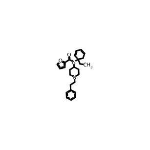 CCC1(N(C(=O)c2ccco2)C2CCN(CCc3ccccc3)CC2)C=CC=CC1